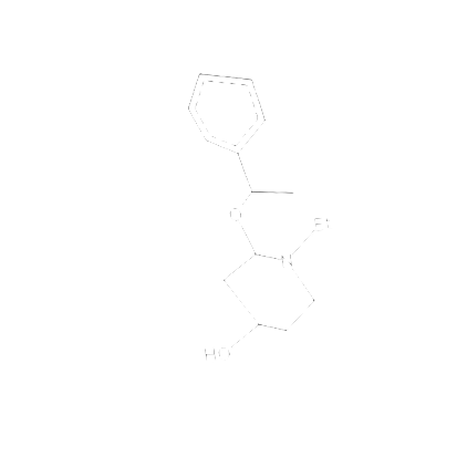 CCN1CCC(O)CC1OC(C)c1ccccc1